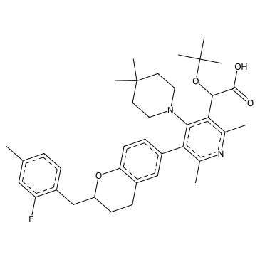 Cc1ccc(CC2CCc3cc(-c4c(C)nc(C)c(C(OC(C)(C)C)C(=O)O)c4N4CCC(C)(C)CC4)ccc3O2)c(F)c1